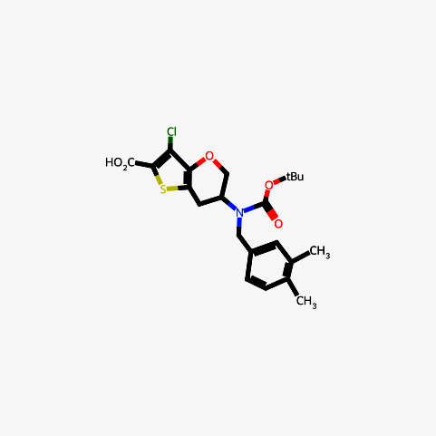 Cc1ccc(CN(C(=O)OC(C)(C)C)C2COc3c(sc(C(=O)O)c3Cl)C2)cc1C